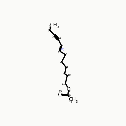 CCC#C/C=C/CCCCCCOC(C)=O